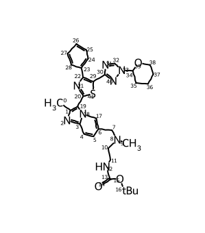 Cc1nc2ccc(CN(C)CCNC(=O)OC(C)(C)C)cn2c1-c1nc(-c2ccccc2)c(-c2ncn(C3CCCCO3)n2)s1